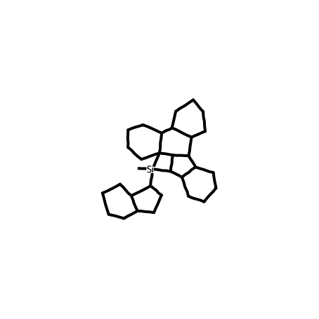 C[Si]1(C2CCC3CCCCC32)C2C3CCCCC3C3C4CCCCC4C4CCCCC41C32